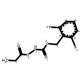 CCC(=O)ONC(=O)OCc1c(F)cccc1F